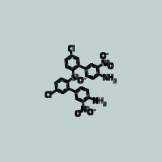 Nc1ccc(-c2cc(Cl)ccc2[S+]([O-])c2ccc(Cl)cc2-c2ccc(N)c([N+](=O)[O-])c2)cc1[N+](=O)[O-]